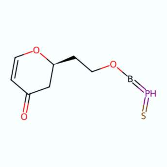 O=C1C=CO[C@@H](CCOB=[PH]=S)C1